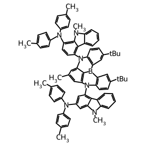 Cc1ccc(N(c2ccc(C)cc2)c2cc(N3c4ccc(C(C)(C)C)cc4B4c5cc(C(C)(C)C)ccc5N(c5ccc(N(c6ccc(C)cc6)c6ccc(C)cc6)c6c5c5ccccc5n6C)c5cc(C)cc3c54)c3c4ccccc4n(C)c3c2)cc1